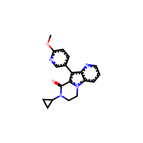 COc1ccc(-c2c3n(c4cccnc24)CCN(C2CC2)C3=O)cn1